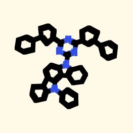 c1ccc(-c2cccc(-c3nc(-c4cccc(-c5ccccc5)c4)nc(-n4c5c(c6c4ccc4c7ccccc7n(-c7ccccc7)c46)CCCC5)n3)c2)cc1